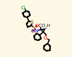 O=C(O)C1(NS(=O)(=O)c2ccc(-c3ccc(Cl)cc3)s2)CC1(COCc1ccccc1)c1ccccc1